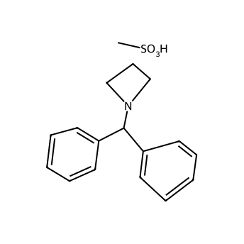 CS(=O)(=O)O.c1ccc(C(c2ccccc2)N2CCC2)cc1